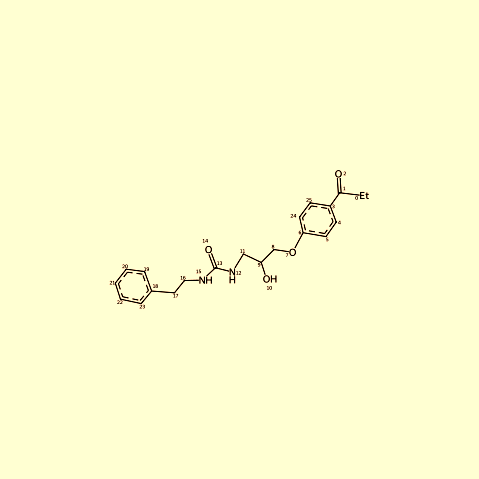 CCC(=O)c1ccc(OCC(O)CNC(=O)NCCc2ccccc2)cc1